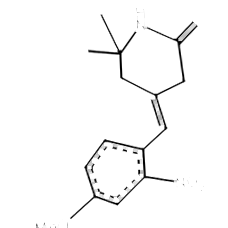 C=C1C/C(=C/c2ccc(OC)cc2[N+](=O)[O-])CC(C)(C)N1